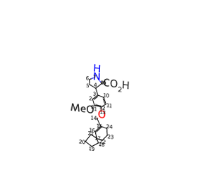 COc1cc(C2CCN[C@@H]2C(=O)O)ccc1OCC1=CC2(CCCC2)CCC1